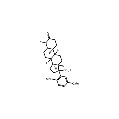 COc1ccc(OC)c(C2(C(=O)O)CC[C@H]3[C@@H]4CCC5N(C)C(=O)CC[C@]5(C)[C@@H]4CC[C@@]32C)c1